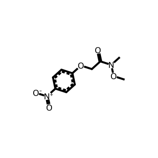 CON(C)C(=O)COc1ccc([N+](=O)[O-])cc1